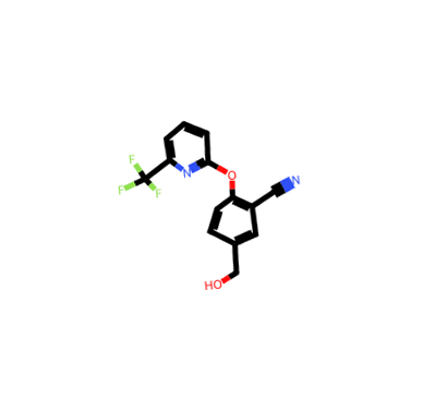 N#Cc1cc(CO)ccc1Oc1cccc(C(F)(F)F)n1